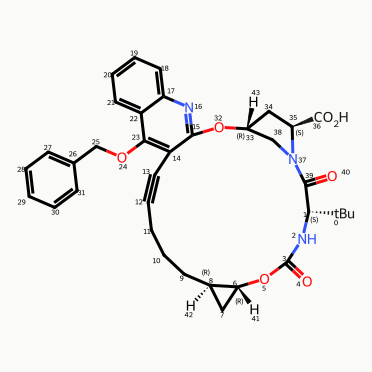 CC(C)(C)[C@@H]1NC(=O)O[C@@H]2C[C@H]2CCCC#Cc2c(nc3ccccc3c2OCc2ccccc2)O[C@@H]2C[C@@H](C(=O)O)N(C2)C1=O